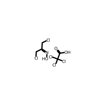 O=C(O)C(Cl)(Cl)Cl.ON=C(CCl)CCl